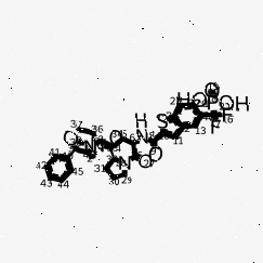 CN(C)CCCC(NC(=O)c1cc2cc(C(F)(F)P(=O)(O)O)ccc2s1)C(=O)N1CCC[C@H]1C(=O)N1CCO[C@H](c2ccccc2)C1